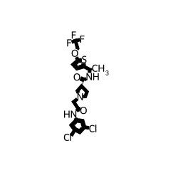 C[C@@H](NC(=O)[C@@H]1CCN(CC(=O)Nc2cc(Cl)cc(Cl)c2)C1)c1ccc(OCC(F)(F)F)s1